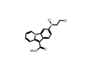 COC(=O)c1c2ccc([S+]([O-])CCCl)cc2n2ccccc12